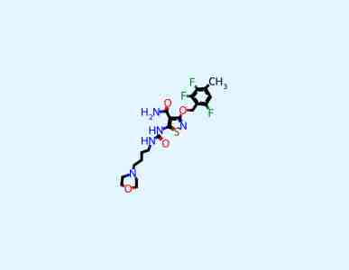 Cc1cc(F)c(COc2nsc(NC(=O)NCCCCN3CCOCC3)c2C(N)=O)c(F)c1F